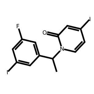 CC(c1cc(F)cc(I)c1)n1ccc(I)cc1=O